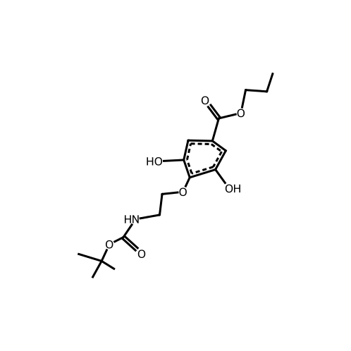 CCCOC(=O)c1cc(O)c(OCCNC(=O)OC(C)(C)C)c(O)c1